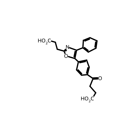 O=C(O)CCC(=O)c1ccc(-c2oc(CCC(=O)O)nc2-c2ccccc2)cc1